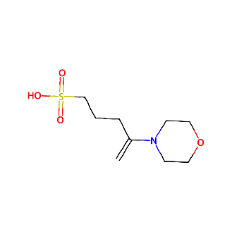 C=C(CCCS(=O)(=O)O)N1CCOCC1